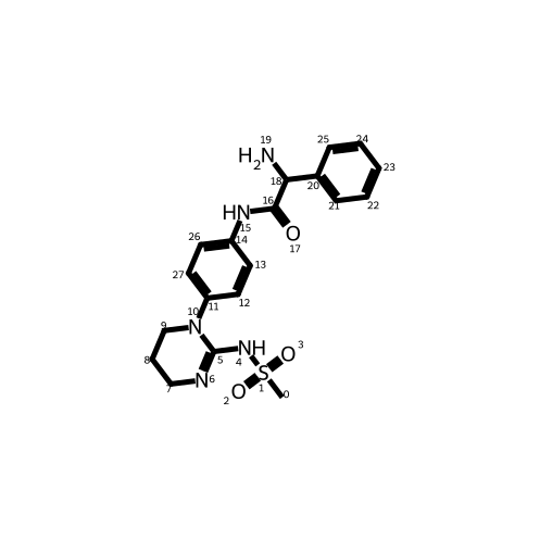 CS(=O)(=O)NC1=NCCCN1c1ccc(NC(=O)C(N)c2ccccc2)cc1